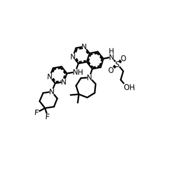 CC1(C)CCCN(c2cc(NS(=O)(=O)CCO)cc3ncnc(Nc4ccnc(N5CCC(F)(F)CC5)n4)c23)CC1